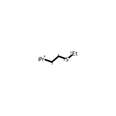 CCSCCC(C)C